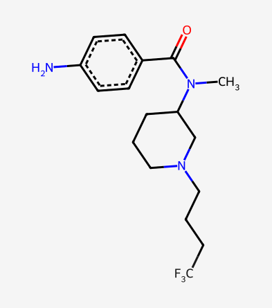 CN(C(=O)c1ccc(N)cc1)C1CCCN(CCCC(F)(F)F)C1